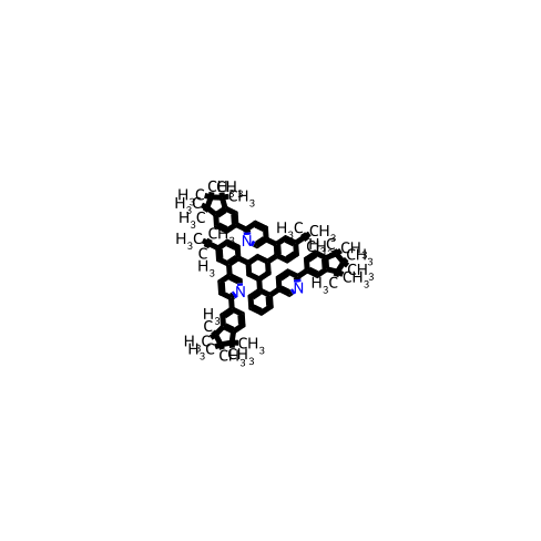 CC(C)(C)c1ccc(C2CC(c3ccccc3-c3ccc(-c4ccc5c(c4)C(C)(C)C(C)(C)C5(C)C)nc3)CC(c3ccc(C(C)(C)C)cc3-c3ccc(-c4ccc5c(c4)C(C)(C)C(C)(C)C5(C)C)nc3)C2)c(-c2ccc(-c3ccc4c(c3)C(C)(C)C(C)(C)C4(C)C)nc2)c1